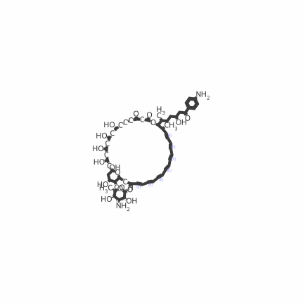 CC1/C=C/C=C/C=C/C=C/C=C/C=C/C=C/C(O[C@@H]2O[C@H](C)[C@@H](O)[C@H](N)[C@H]2O)CC2OC(O)(CC(O)CC(O)CC(O)CC(O)CCCC(=O)CC(=O)OC1C(C)CCC(O)CC(=O)c1ccc(N)cc1)CC(O)C2C(=O)O